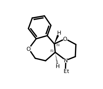 CCN1CCO[C@H]2c3ccccc3OCC[C@@H]21